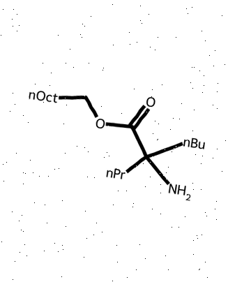 CCCCCCCCCOC(=O)C(N)(CCC)CCCC